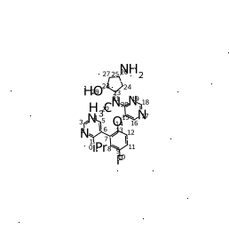 CC(C)c1ncncc1-c1cc(F)ccc1Oc1cncnc1N(C)[C@H]1C[C@@H](N)C[C@H]1O